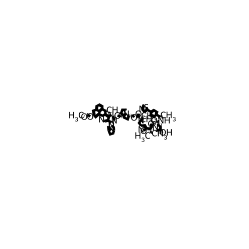 COCOc1cc2c3c(cccc3c1)C(C)c1c-2ncc2c(N3CC4CCC(C3)N4)nc(OC[C@@]34CCCN3[C@H](COC(=O)N(C)Cc3cc([C@H](C(=O)N5C[C@H](O)C[C@H]5C(=O)N[C@@H](C)c5ccc(-c6scnc6C)cc5)C(C)C)on3)CC4)nc12